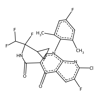 Cc1cc(F)cc(C)c1-n1cc(C(=O)NC(F)(C(F)F)C2CC2)c(=O)c2cc(F)c(Cl)nc21